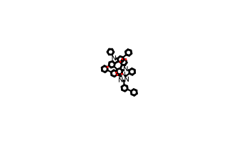 c1ccc(-c2ccc(-c3nc(-c4cccc(-c5ccccc5)c4)nc(-c4ccccc4-n4c5ccccc5c5c(-c6cccc7c6c6ccc(-c8ccccc8)cc6n7-c6ccccc6)cccc54)n3)cc2)cc1